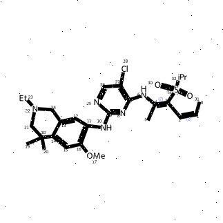 C/C=C\C(=C(/C)Nc1nc(Nc2cc3c(cc2OC)C(C)(C)CN(CC)C3)ncc1Cl)S(=O)(=O)C(C)C